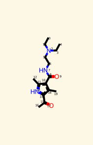 CCN(CC)CCNC(=O)c1c(C)[nH]c(C(C)=O)c1C